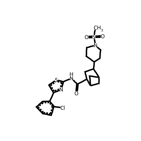 CS(=O)(=O)N1CCC(C2CC(C(=O)Nc3nc(-c4ccccc4Cl)cs3)C3CC2C3)CC1